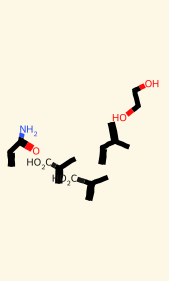 C=C(C)C(=O)O.C=C(C)C(=O)O.C=CC(=C)C.C=CC(N)=O.OCCO